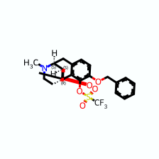 CN1CC[C@@]23CC(=O)CC[C@@H]2[C@@H]1Cc1ccc(OCc2ccccc2)c(OS(=O)(=O)C(F)(F)F)c13